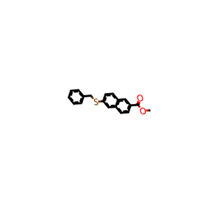 COC(=O)c1ccc2cc(SCc3ccccc3)ccc2c1